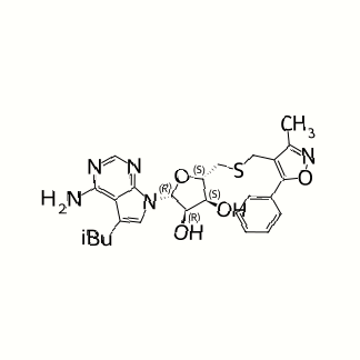 CCC(C)c1cn([C@@H]2O[C@H](CSCc3c(C)noc3-c3ccccc3)[C@@H](O)[C@H]2O)c2ncnc(N)c12